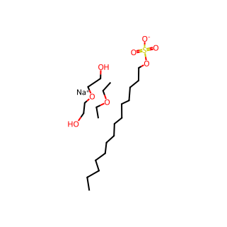 CCCCCCCCCCCCCCOS(=O)(=O)[O-].CCOCC.OCCOCCO.[Na+]